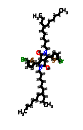 CCCCCCC(CCC)CCCCCCN1C(=O)C2=C(c3ccc(Br)s3)N(CCCCCCC(CCC)CCCCCC)C(=O)C2=C1c1ccc(Br)s1